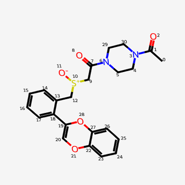 CC(=O)N1CCN(C(=O)C[S+]([O-])Cc2ccccc2C2=COc3ccccc3O2)CC1